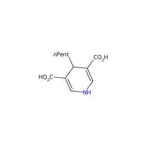 CCCCCC1C(C(=O)O)=CNC=C1C(=O)O